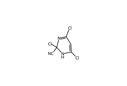 N#CC1(Cl)N=C(Cl)C=C(Cl)N1